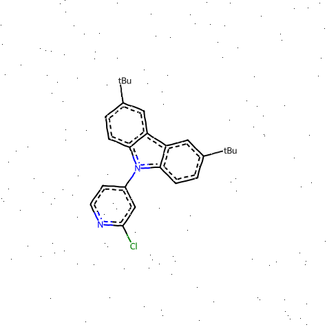 CC(C)(C)c1ccc2c(c1)c1cc(C(C)(C)C)ccc1n2-c1ccnc(Cl)c1